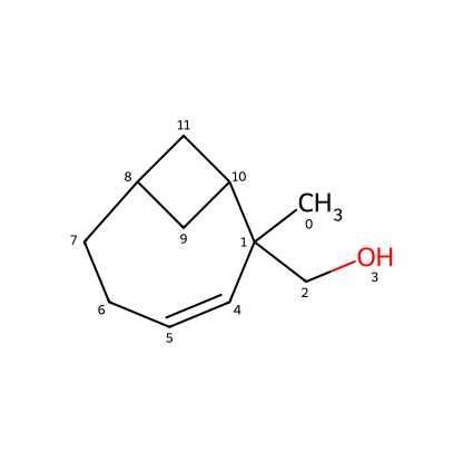 CC1(CO)/C=C\CCC2CC1C2